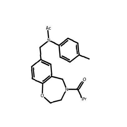 CC(=O)N(Cc1ccc2c(c1)CN(C(=O)C(C)C)CCO2)c1ccc(C)cc1